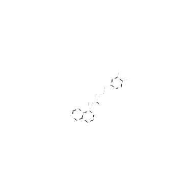 Cc1cc2c(NC(=O)NCCc3ccc(Cl)c(Cl)c3)cccc2cn1